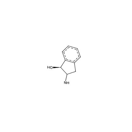 [NH]C1Cc2ccccc2[C@@H]1O